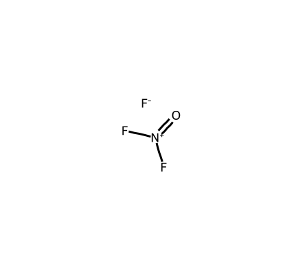 O=[N+](F)F.[F-]